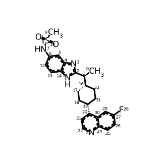 C[C@H](c1nc2cc(NS(C)(=O)=O)ccc2[nH]1)[C@H]1CC[C@@H](c2ccnc3ccc(F)cc32)CC1